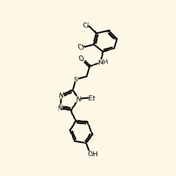 CCn1c(SCC(=O)Nc2cccc(Cl)c2Cl)nnc1-c1ccc(O)cc1